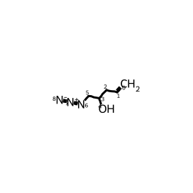 C=CCC(O)CN=[N+]=[N-]